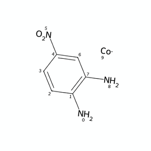 Nc1ccc([N+](=O)[O-])cc1N.[Co]